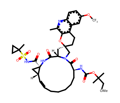 COCC(C)(C)OC(=O)N[C@H]1CCCCC/C=C\[C@@H]2C[C@@]2(C(=O)NS(=O)(=O)C2(C)CC2)NC(=O)[C@@H]2C[C@]3(CCc4c(c(C)nc5ccc(OC(F)(F)F)cc45)O3)CN2C1=O